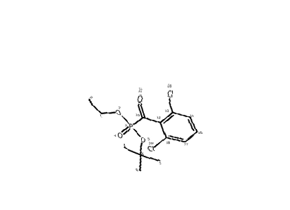 CCOP(=O)(OC(C)(C)C)C(=O)c1c(Cl)cccc1Cl